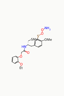 CCOc1ccccc1OCC(=O)N[C@H](CSC)Cc1ccc(OC)c(SOON)c1